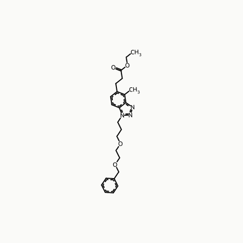 CCOC(=O)CCc1ccc2c(nnn2CCCOCCOCc2ccccc2)c1C